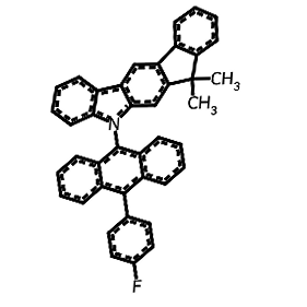 CC1(C)c2ccccc2-c2cc3c4ccccc4n(-c4c5ccccc5c(-c5ccc(F)cc5)c5ccccc45)c3cc21